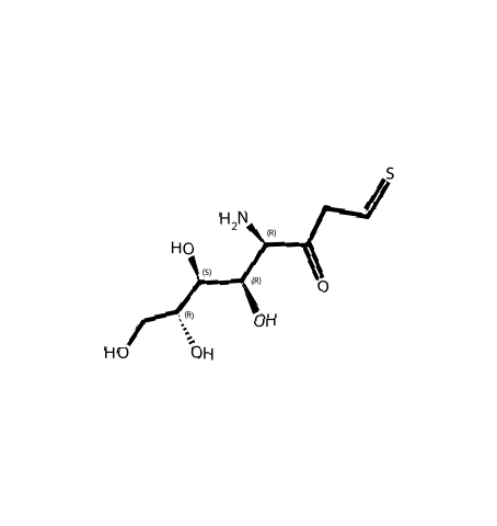 N[C@@H](C(=O)CC=S)[C@@H](O)[C@H](O)[C@H](O)CO